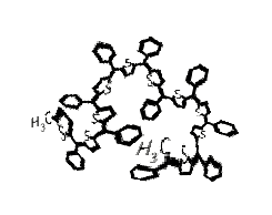 C/C(c1ccccc1)=c1/cc/c(=C(\c2ccccc2)c2ccc(/C(c3ccccc3)=c3/cc/c(=C(\c4ccccc4)c4ccc(/C(c5ccccc5)=c5\cc/c(=C(\c6ccccc6)c6ccc(/C(c7ccccc7)=c7/cc/c(=C(\c8ccccc8)c8ccc(/C(c9ccccc9)=c9/cc/c(=C(\c%10ccccc%10)c%10ccc(C)s%10)s9)s8)s7)s6)s5)s4)s3)s2)s1